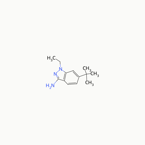 CCn1nc(N)c2ccc(C(C)(C)C)cc21